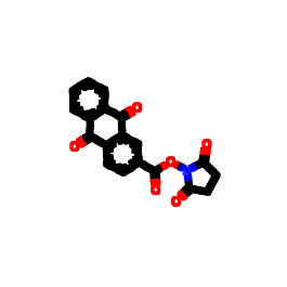 O=C(ON1C(=O)CCC1=O)c1ccc2c(c1)C(=O)c1ccccc1C2=O